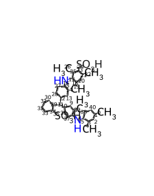 Cc1cc(C)c(Nc2ccc(C(c3ccc(Nc4c(C)cc(C)c(S(=O)(=O)O)c4C)cc3)c3ccccc3S(=O)(=O)O)cc2)c(C)c1